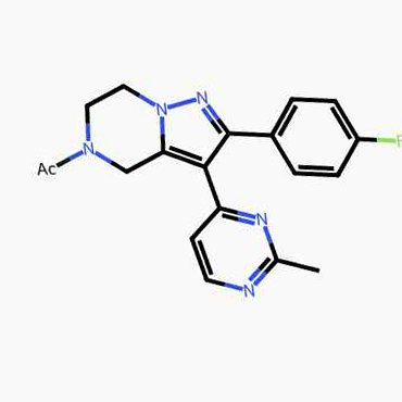 CC(=O)N1CCn2nc(-c3ccc(F)cc3)c(-c3ccnc(C)n3)c2C1